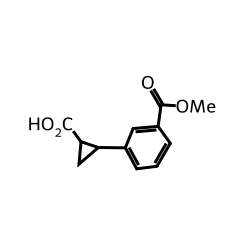 COC(=O)c1cccc(C2CC2C(=O)O)c1